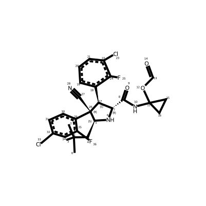 CC(C)(C)C[C@@H]1N[C@@H](C(=O)NC2(OC=O)CC2)[C@H](c2cccc(Cl)c2F)[C@@]1(C#N)c1ccc(Cl)cc1F